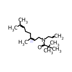 C=CCN(C/C=C(/C)CCC=C(C)C)C(=O)C(C)(C)C